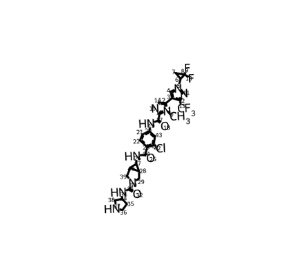 Cn1c(-c2cn(C3CC3(F)F)nc2C(F)(F)F)cnc1C(=O)Nc1ccc(C(=O)NC2C3CN(C(=O)NC4CCNC4)CC32)c(Cl)c1